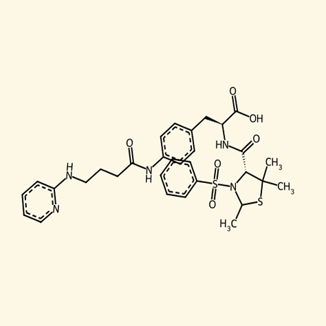 CC1SC(C)(C)[C@@H](C(=O)N[C@@H](Cc2ccc(NC(=O)CCCNc3ccccn3)cc2)C(=O)O)N1S(=O)(=O)c1ccccc1